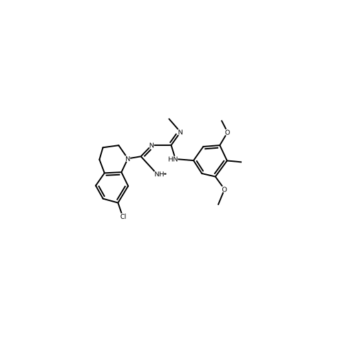 C/N=C(\N=C(/NC)N1CCCc2ccc(Cl)cc21)Nc1cc(OC)c(C)c(OC)c1